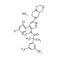 CN(C(=O)C(C)(C)c1cc(C(F)(F)F)cc(C(F)(F)F)c1)c1cnc(N2CC3COCCN3C[C@H]2CO)cc1-c1ccc(F)cc1Cl